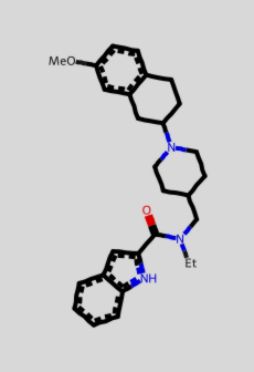 CCN(CC1CCN(C2CCc3ccc(OC)cc3C2)CC1)C(=O)c1cc2ccccc2[nH]1